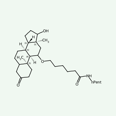 CCCCCNC(=O)CCCCCOC1C[C@]2(C)C(O)CC[C@H]2[C@@H]2CCC3CC(=O)CC[C@]3(C)[C@H]12